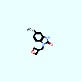 O=c1[nH]c2cc(S(=O)(=O)O)ccc2n1CC1COC1